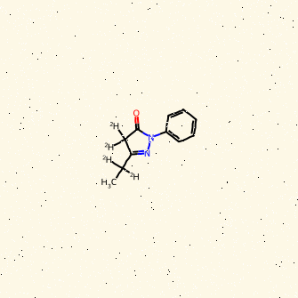 [2H]C([2H])(C)C1=NN(c2ccccc2)C(=O)C1([2H])[2H]